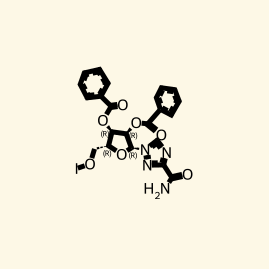 NC(=O)c1ncn([C@@H]2O[C@H](COI)[C@@H](OC(=O)c3ccccc3)[C@H]2OC(=O)c2ccccc2)n1